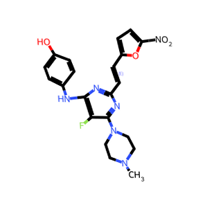 CN1CCN(c2nc(/C=C/c3ccc([N+](=O)[O-])o3)nc(Nc3ccc(O)cc3)c2F)CC1